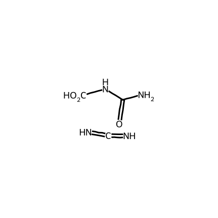 N=C=N.NC(=O)NC(=O)O